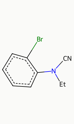 CCN(C#N)c1ccccc1Br